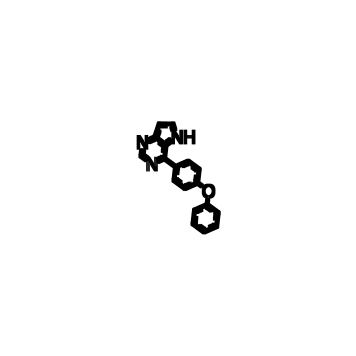 c1ccc(Oc2ccc(-c3ncnc4cc[nH]c34)cc2)cc1